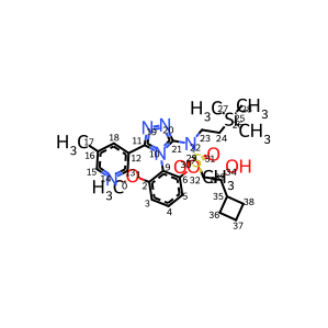 COc1cccc(OC)c1-n1c(-c2cncc(C)c2)nnc1N(CC[Si](C)(C)C)S(=O)(=O)C[C@H](O)C1CCC1